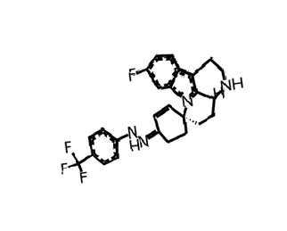 Fc1ccc2c3c4n(c2c1)[C@@]1(C=C/C(=N\Nc2ccc(C(F)(F)F)cc2)CC1)CC[C@@H]4NCC3